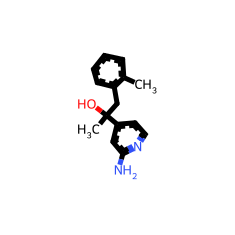 Cc1ccccc1CC(C)(O)c1ccnc(N)c1